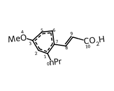 CCCc1cc(OC)ccc1C=CC(=O)O